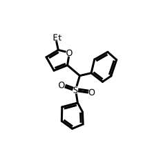 CCc1ccc(C(c2ccccc2)S(=O)(=O)c2ccccc2)o1